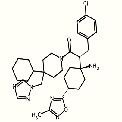 Cc1noc([C@H]2CC[C@@](N)([C@@H](Cc3ccc(Cl)cc3)C(=O)N3CCC(Cn4cncn4)(C4CCCCC4)CC3)CC2)n1